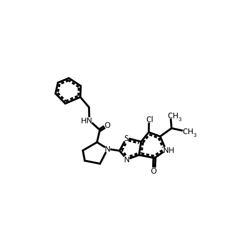 CC(C)c1[nH]c(=O)c2nc(N3CCCC3C(=O)NCc3ccccc3)sc2c1Cl